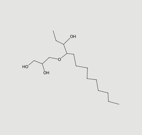 CCCCCCCCCC(OCC(O)CO)C(O)CC